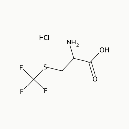 Cl.NC(CSC(F)(F)F)C(=O)O